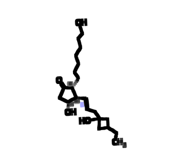 CCC1CC(O)(C/C=C/[C@H]2[C@H](O)CC(=O)[C@@H]2CCCCCCCO)C1